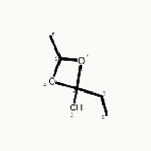 CCC1(O)OC(C)O1